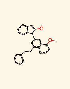 COC1=Cc2ccccc2C1c1cc(CCc2ccccc2)c2cccc(OC)c2c1